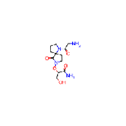 NCC(=O)N1CCCC12CCN(OC(CO)C(N)=O)C2=O